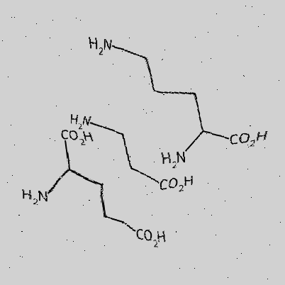 NC(CCC(=O)O)C(=O)O.NCCC(=O)O.NCCCC(N)C(=O)O